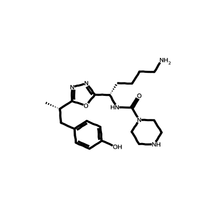 C[C@@H](Cc1ccc(O)cc1)c1nnc([C@H](CCCCN)NC(=O)N2CCNCC2)o1